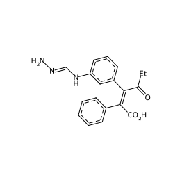 CCC(=O)C(=C(C(=O)O)c1ccccc1)c1cccc(NC=NN)c1